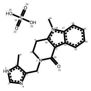 Cc1[nH]cnc1CN1CCc2c(c3ccccc3n2C)C1=O.O=S(=O)(O)O